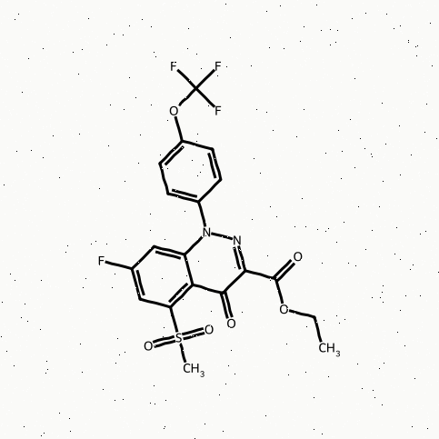 CCOC(=O)c1nn(-c2ccc(OC(F)(F)F)cc2)c2cc(F)cc(S(C)(=O)=O)c2c1=O